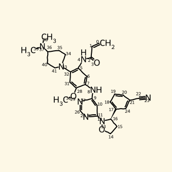 C=CC(=O)Nc1cc(Nc2cc(N3OCC[C@@H]3c3cccc(C#N)c3)ncn2)c(OC)cc1N1CCC(N(C)C)CC1